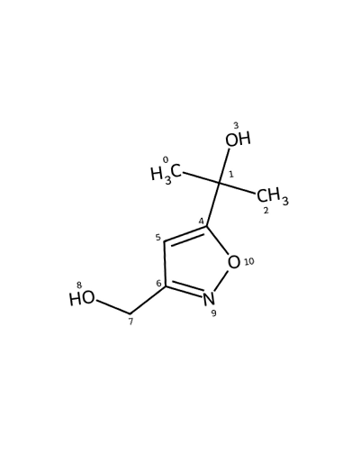 CC(C)(O)c1cc(CO)no1